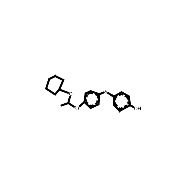 CC(Oc1ccc(Sc2ccc(O)cc2)cc1)OC1CCCCC1